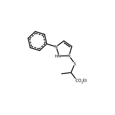 CCOC(=O)C(C)SN1C=CN(c2ccccc2)N1